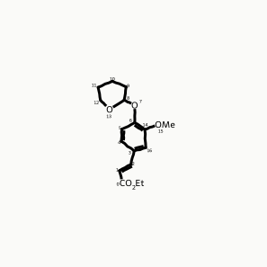 CCOC(=O)/C=C/c1ccc(OC2CCCCO2)c(OC)c1